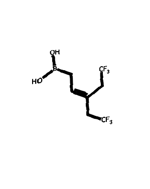 OB(O)CC=C(CC(F)(F)F)CC(F)(F)F